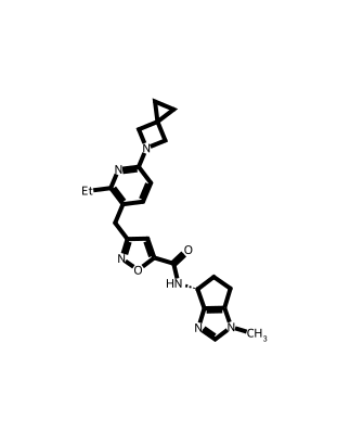 CCc1nc(N2CC3(CC3)C2)ccc1Cc1cc(C(=O)N[C@@H]2CCc3c2ncn3C)on1